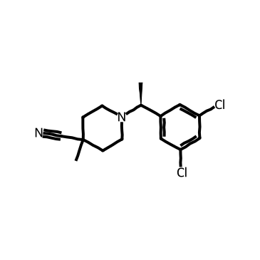 C[C@@H](c1cc(Cl)cc(Cl)c1)N1CCC(C)(C#N)CC1